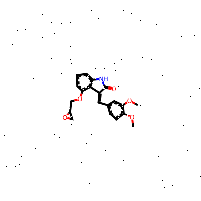 COc1ccc(C=C2C(=O)Nc3cccc(OCC4CO4)c32)cc1OC